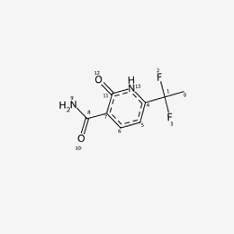 CC(F)(F)c1ccc(C(N)=O)c(=O)[nH]1